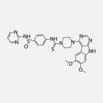 COc1cc2[nH]c3ncnc(N4CCN(C(=S)Nc5ccc([S+]([O-])Nc6ncccn6)cc5)CC4)c3c2cc1OC